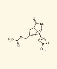 CC(=O)OCC12CC3C(=O)NC(C1C)C3(COC(C)=O)C2